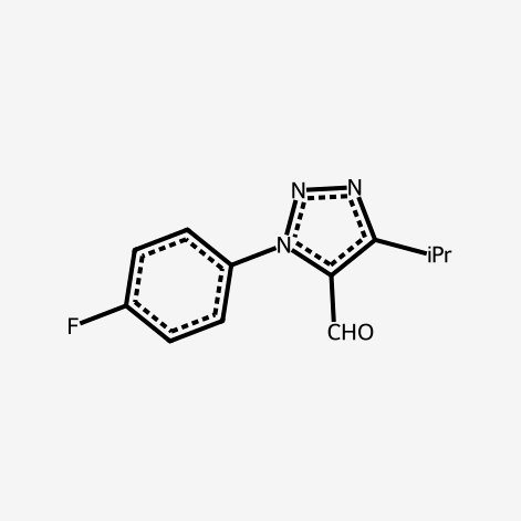 CC(C)c1nnn(-c2ccc(F)cc2)c1C=O